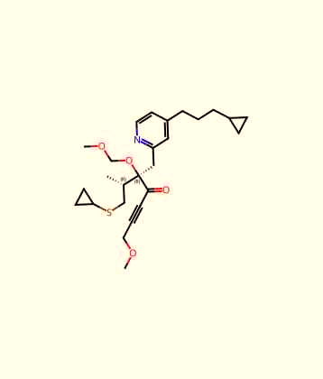 COCC#CC(=O)[C@](Cc1cc(CCCC2CC2)ccn1)(OCOC)[C@@H](C)CSC1CC1